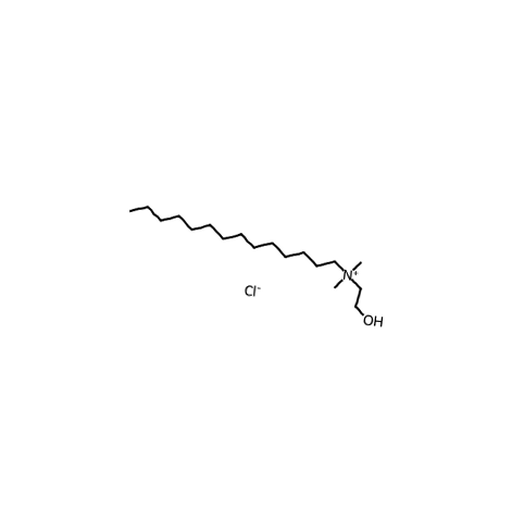 CCCCCCCCCCCCCC[N+](C)(C)CCO.[Cl-]